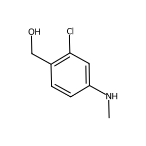 CNc1ccc(CO)c(Cl)c1